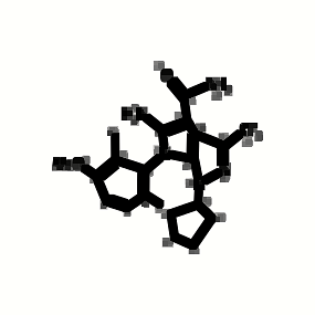 COc1ccc(C)c(-n2c(N)c(C(N)=O)c3c(C(F)(F)F)nn(C4CCCC4)c32)c1C